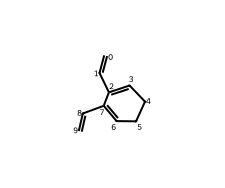 C=CC1=CCCC=C1C=C